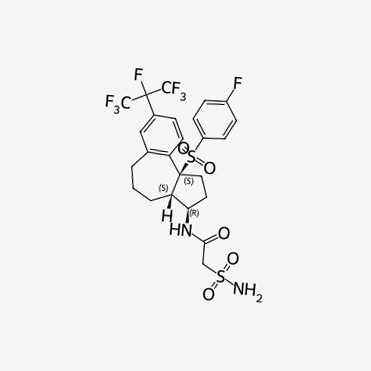 NS(=O)(=O)CC(=O)N[C@@H]1CC[C@@]2(S(=O)(=O)c3ccc(F)cc3)c3ccc(C(F)(C(F)(F)F)C(F)(F)F)cc3CCC[C@@H]12